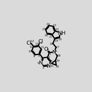 O=C(c1cncnc1-c1ccc(Cl)c(Cl)c1)N(CCc1c[nH]c2ccccc12)CC1CC1